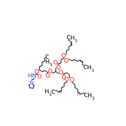 CC/C=C\CCCCOC(CCC(=O)OCC(COC(=O)CCC(CCCCCC)OC(=O)NCCN1CCCC1)COC(=O)CCC(OCCCC/C=C\CC)OCCCC/C=C\CC)OCCCC/C=C\CC